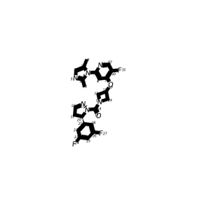 Cc1cnc(C)n1-c1cc(OC2CN(C(=O)N3N=CC[C@H]3c3cc(F)cc(F)c3)C2)c(F)cn1